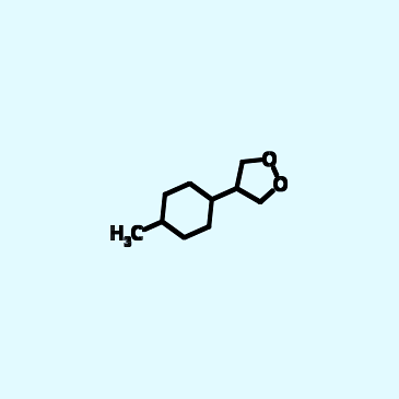 CC1CCC(C2COOC2)CC1